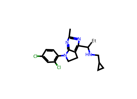 CCC(NCC1CC1)c1nc(C)nc2c1CCN2c1ccc(Cl)cc1Cl